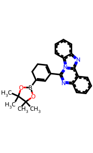 CC1(C)OB(C2=CC(c3nc4ccccc4c4nc5ccccc5n34)=CCC2)OC1(C)C